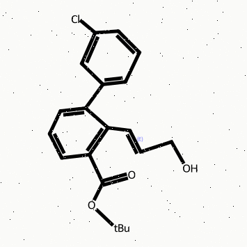 CC(C)(C)OC(=O)c1cccc(-c2cccc(Cl)c2)c1/C=C/CO